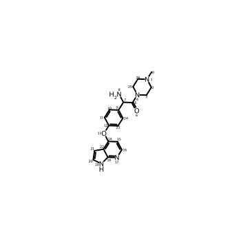 CN1CCN(C(=O)C(N)c2ccc(Oc3ccnc4[nH]ccc34)cc2)CC1